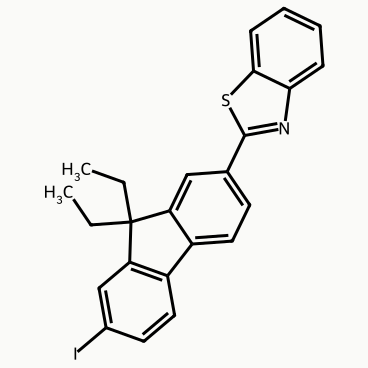 CCC1(CC)c2cc(I)ccc2-c2ccc(-c3nc4ccccc4s3)cc21